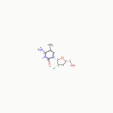 Cc1cn([C@@H]2O[C@H](CO)C[C@@H]2F)c(=O)nc1N